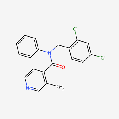 Cc1cnccc1C(=O)N(Cc1ccc(Cl)cc1Cl)c1ccccc1